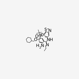 CCC/N=C(/Nc1ccc2scnc2c1)c1cc(S(=O)(=O)C(C)(C)C)c(OCC2CCCCC2)cc1N